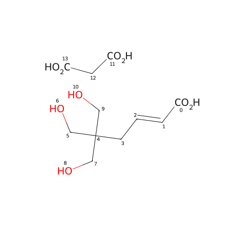 O=C(O)C=CCC(CO)(CO)CO.O=C(O)CC(=O)O